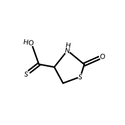 O=C1NC(C(O)=S)CS1